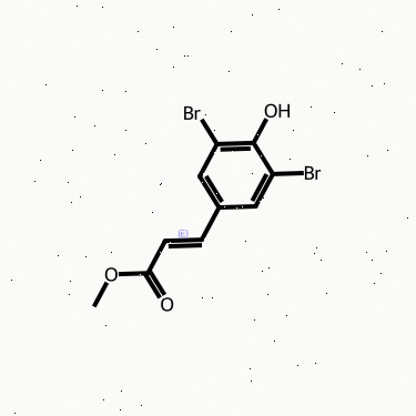 COC(=O)/C=C/c1cc(Br)c(O)c(Br)c1